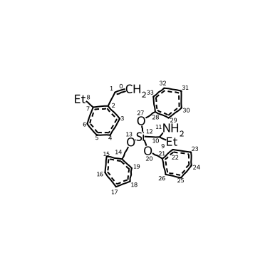 C=Cc1ccccc1CC.CCC(N)[Si](Oc1ccccc1)(Oc1ccccc1)Oc1ccccc1